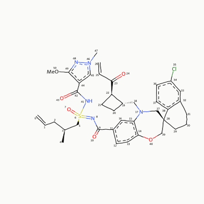 C=CC[C@H](C)C[S@](=O)(=NC(=O)c1ccc2c(c1)N(C[C@@H]1CC[C@H]1C(=O)C=C)C[C@@]1(CCCc3cc(Cl)ccc31)CO2)NC(=O)c1cn(C)nc1OC